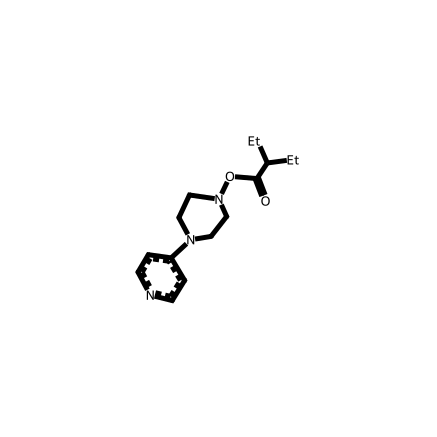 CCC(CC)C(=O)ON1CCN(c2ccncc2)CC1